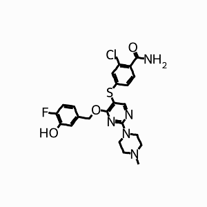 CN1CCN(c2ncc(Sc3ccc(C(N)=O)c(Cl)c3)c(OCc3ccc(F)c(O)c3)n2)CC1